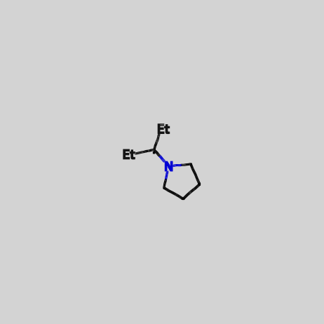 CC[C](CC)N1CCCC1